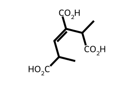 CC(C=C(C(=O)O)C(C)C(=O)O)C(=O)O